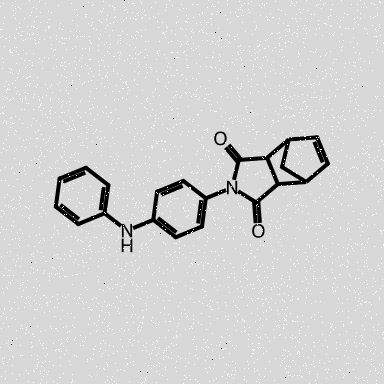 O=C1C2C3C=CC(C3)C2C(=O)N1c1ccc(Nc2ccccc2)cc1